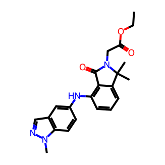 CCOC(=O)CN1C(=O)c2c(Nc3ccc4c(cnn4C)c3)cccc2C1(C)C